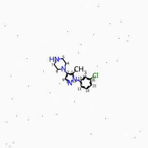 Cc1c(N2CCNCC2)cnn1-c1cccc(Cl)c1